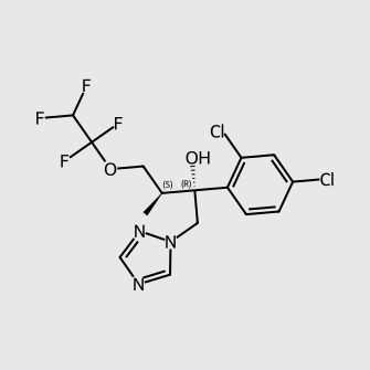 C[C@@H](COC(F)(F)C(F)F)[C@](O)(Cn1cncn1)c1ccc(Cl)cc1Cl